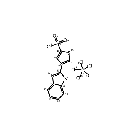 ClP(Cl)(Cl)(Cl)Cl.O=S(=O)(Cl)c1cc(-c2nc3ccccc3s2)cs1